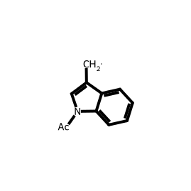 [CH2]c1cn(C(C)=O)c2ccccc12